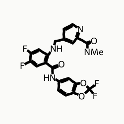 CNC(=O)c1cc(CNc2cc(F)c(F)cc2C(=O)Nc2ccc3c(c2)OC(F)(F)O3)ccn1